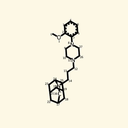 COc1ccccc1N1CCN(CCCN2CC3CC4CC(C3)CC2C4)CC1